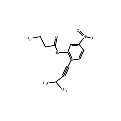 CCCC(=O)Nc1cc([N+](=O)[O-])ccc1C#CC(C)C